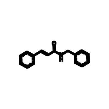 O=C(C=Cc1ccccc1)NCc1ccccc1